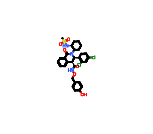 CS(=O)(=O)N[C@H]1CCCCC1N1C(=O)c2ccccc2[C@@H](C(=O)NOCc2ccc(O)cc2)[C@@H]1c1ccc(Cl)cc1Cl